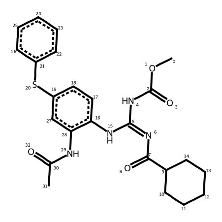 COC(=O)N/C(=N/C(=O)C1CCCCC1)Nc1ccc(Sc2ccccc2)cc1NC(C)=O